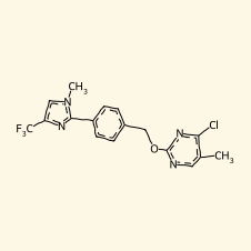 Cc1cnc(OCc2ccc(-c3nc(C(F)(F)F)cn3C)cc2)nc1Cl